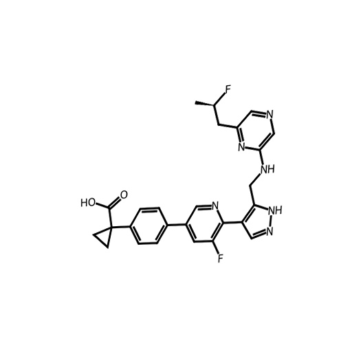 C[C@@H](F)Cc1cncc(NCc2[nH]ncc2-c2ncc(-c3ccc(C4(C(=O)O)CC4)cc3)cc2F)n1